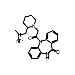 CCCN(C)CC1CCCCN1CC(=O)N1c2ccccc2NC(=O)c2ccccc21